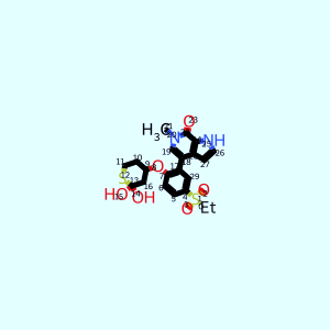 CCS(=O)(=O)c1ccc(OC2CCSC(O)(O)C2)c(-c2cn(C)c(=O)c3[nH]ccc23)c1